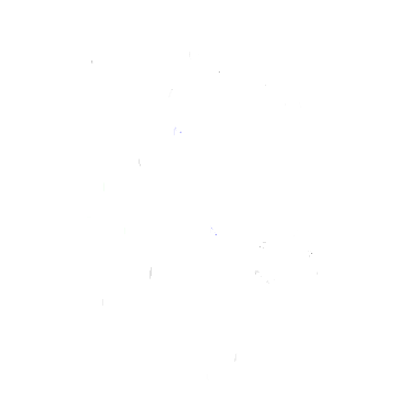 Cc1cc(C(C)(C)C)ccc1N1c2cc(C(F)(F)F)cc3c2B(c2cc4c(cc2N3c2cc3c(cc2-c2ccccc2)C(C)(C)CCC3(C)C)C(C)(C)CCC4(C)C)c2sc3c(c21)C(C)(C)CCC3(C)C